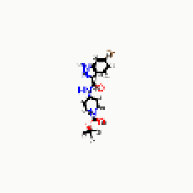 Cn1nc(C(=O)NC2CCN(C(=O)OC(C)(C)C)CC2)c2ccc(Br)cc21